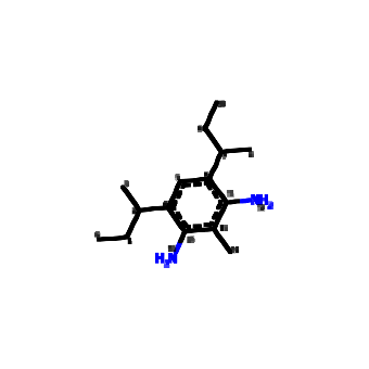 CCC(C)c1cc(C(C)CC)c(N)c(C)c1N